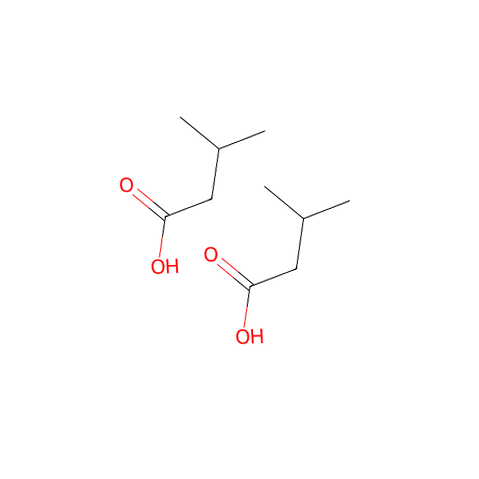 CC(C)CC(=O)O.CC(C)CC(=O)O